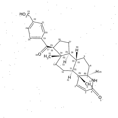 C[C@]12C=CC(=O)N[C@@H]1CC[C@@H]1[C@@H]2CC[C@]2(C)[C@@H](C(=O)c3ccc(C(=O)O)cc3)CC[C@@H]12